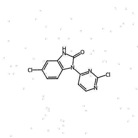 O=c1[nH]c2cc(Cl)ccc2n1-c1ccnc(Cl)n1